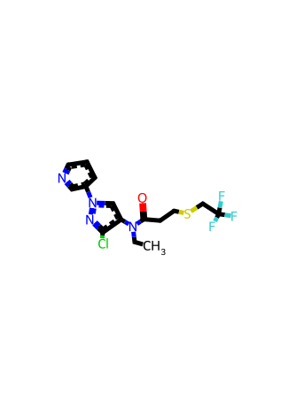 CCN(C(=O)CCSCC(F)(F)F)c1cn(-c2cccnc2)nc1Cl